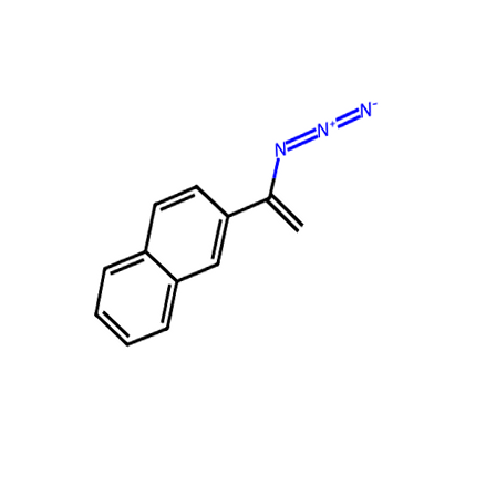 C=C(N=[N+]=[N-])c1ccc2ccccc2c1